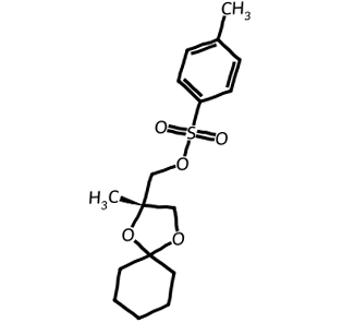 Cc1ccc(S(=O)(=O)OC[C@]2(C)COC3(CCCCC3)O2)cc1